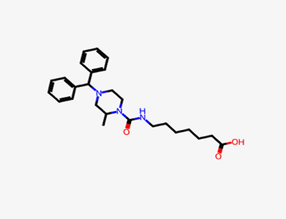 CC1CN(C(c2ccccc2)c2ccccc2)CCN1C(=O)NCCCCCCC(=O)O